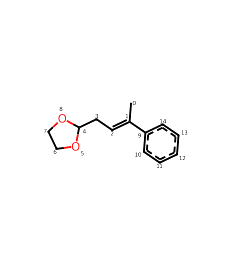 CC(=CCC1OCCO1)c1ccccc1